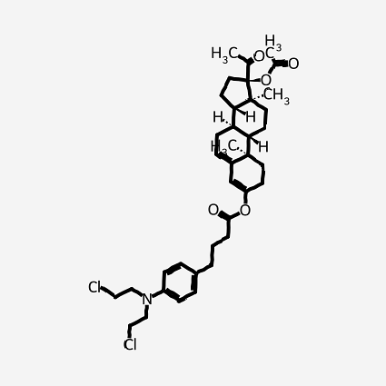 CC(=O)O[C@]1(C(C)=O)CC[C@H]2[C@@H]3CC=C4C=C(OC(=O)CCCc5ccc(N(CCCl)CCCl)cc5)CC[C@]4(C)[C@H]3CC[C@@]21C